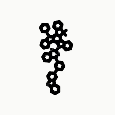 CC1(C)c2ccccc2-c2c1c1c3ccccc3n(-c3nc(-c4cccc(-c5ccc6oc7ccccc7c6c5)c4)c4ccccc4n3)c1c1c3ccccc3n(-c3ccccc3)c21